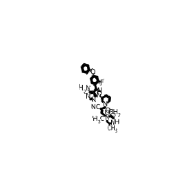 C[C@@H]1CN(C(C)(C)/C=C(/C#N)C(=O)N2CCC[C@@H](n3nc(-c4ccc(Oc5ccccc5)cc4F)c4c(N)ncnc43)C2)[C@@H](C)CN1